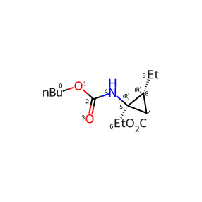 CCCCOC(=O)N[C@]1(C(=O)OCC)C[C@H]1CC